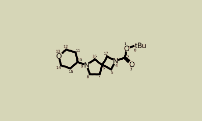 CC(C)(C)OC(=O)N1CC2(CCN(C3CCOCC3)C2)C1